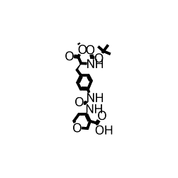 COC(=O)[C@H](Cc1ccc(NC(=O)NC2=C(C(=O)O)COCC2)cc1)NC(=O)OC(C)(C)C